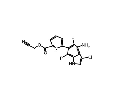 N#CCOC(=O)c1cccc(-c2c(F)c(N)c3c(Cl)c[nH]c3c2F)n1